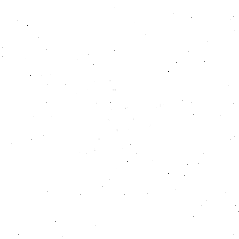 CC(=O)C(CC(C)C)c1cc(-c2cc(F)cc(F)c2)cc(-c2cc(F)cc(F)c2)c1